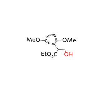 CCOC(=O)C(CO)c1cc(OC)ccc1OC